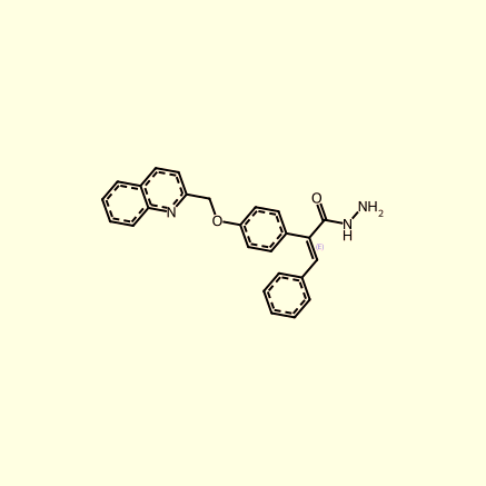 NNC(=O)/C(=C/c1ccccc1)c1ccc(OCc2ccc3ccccc3n2)cc1